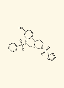 O=S(=O)(NC[C@H]1CN(S(=O)(=O)c2cccs2)CCN1c1ccc(O)cc1)c1ccccc1